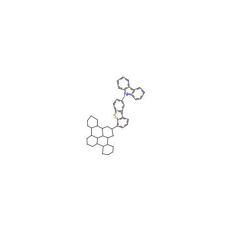 c1cc(C2CC3C4CCCCC4C4CCCC5C6CCCCC6C(C2)C3C45)c2sc3ccc(-n4c5ccccc5c5ccccc54)cc3c2c1